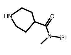 CC(C)N(I)C(=O)C1CCNCC1